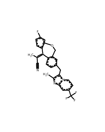 CC(C#N)=C1c2ccc(Cc3c(C)nc4cc(C(F)(F)F)ccn34)cc2COc2cc(F)ccc21